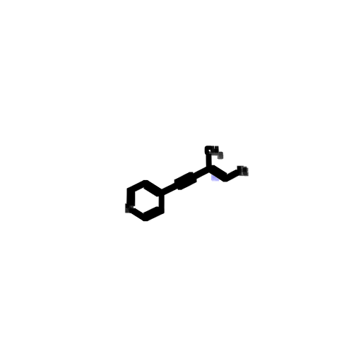 CC/C=C(\C)C#Cc1ccncc1